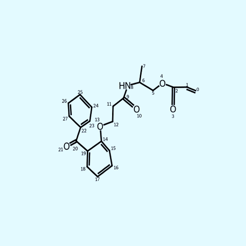 C=CC(=O)OCC(C)NC(=O)CCOc1ccccc1C(=O)c1ccccc1